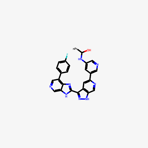 CCCC(O)Nc1cncc(-c2cc3c(-c4nc5c(-c6ccc(F)cc6)cncc5[nH]4)n[nH]c3cn2)c1